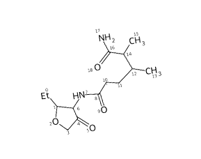 CCC1OCC(=O)C1NC(=O)[CH]CC(C)C(C)C(N)=O